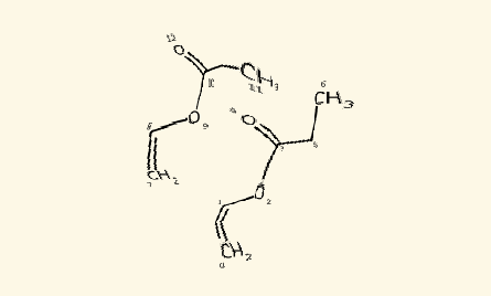 C=COC(=O)CC.C=COC(C)=O